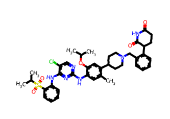 Cc1cc(Nc2ncc(Cl)c(Nc3ccccc3S(=O)(=O)C(C)C)n2)c(OC(C)C)cc1C1CCN(Cc2ccccc2C2CCC(=O)NC2=O)CC1